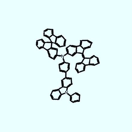 c1ccc(-n2c3ccccc3c3cc(-c4ccc(N(c5ccc6c(c5)C(=C5c7ccccc7-c7ccccc75)c5ccccc5-6)c5ccc6c(c5)C5(c7ccccc7-c7ccccc75)c5ccccc5-6)cc4)ccc32)cc1